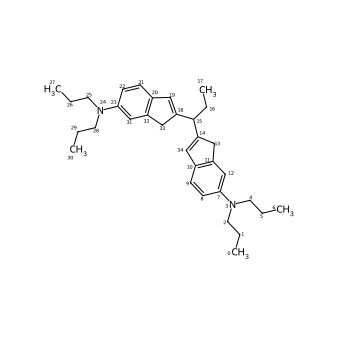 CCCN(CCC)c1ccc2c(c1)CC(C(CC)C1=Cc3ccc(N(CCC)CCC)cc3C1)=C2